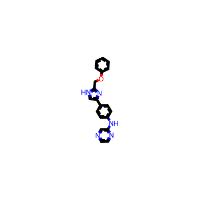 c1ccc(OCc2nc(-c3ccc(Nc4cnccn4)cc3)c[nH]2)cc1